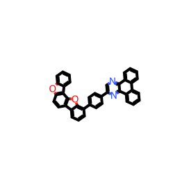 c1ccc2c(c1)oc1ccc3c4cccc(-c5ccc(-c6cnc7c8ccccc8c8ccccc8c7n6)cc5)c4oc3c12